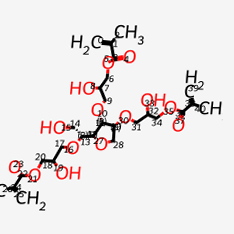 C=C(C)C(=O)OCC(O)CO[C@H]1[C@@H]([C@@H](CO)OCC(O)COC(=O)C(=C)C)OC[C@@H]1OCC(O)COC(=O)C(=C)C